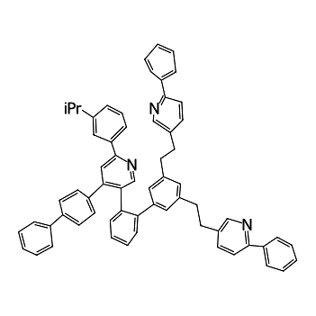 CC(C)c1cccc(-c2cc(-c3ccc(-c4ccccc4)cc3)c(-c3ccccc3-c3cc(CCc4ccc(-c5ccccc5)nc4)cc(CCc4ccc(-c5ccccc5)nc4)c3)cn2)c1